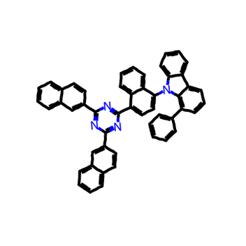 c1ccc(-c2cccc3c4ccccc4n(-c4ccc(-c5nc(-c6ccc7ccccc7c6)nc(-c6ccc7ccccc7c6)n5)c5ccccc45)c23)cc1